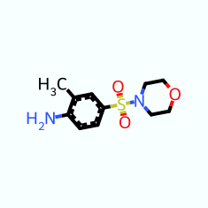 Cc1cc(S(=O)(=O)N2CCOCC2)ccc1N